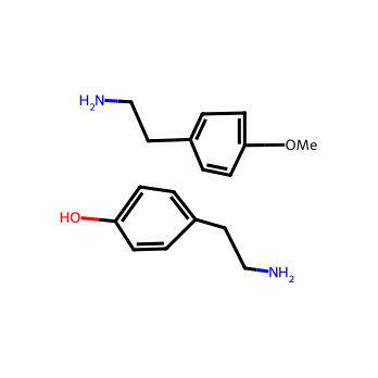 COc1ccc(CCN)cc1.NCCc1ccc(O)cc1